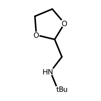 CC(C)(C)NCC1OCCO1